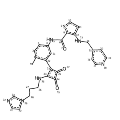 Cc1ccc(NC(=O)c2sccc2NCc2ccncc2)cc1-c1c(NCCCn2ccnc2)c(=O)c1=O